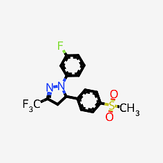 CS(=O)(=O)c1ccc(C2CC(C(F)(F)F)=NN2c2cccc(F)c2)cc1